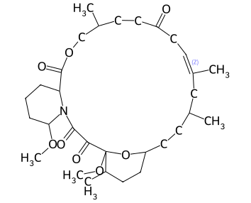 COC1CCCC2C(=O)OCC(C)CCC(=O)C/C=C(/C)CC(C)CCC3CCC(C)C(OC)(O3)C(=O)C(=O)N12